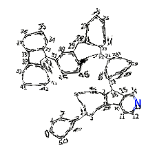 c1ccc(-c2ccc3c(c2)-c2ccncc2C3c2cccc(C3c4ccccc4-c4cc(C5c6ccccc6-c6ccccc65)ccc43)c2)cc1